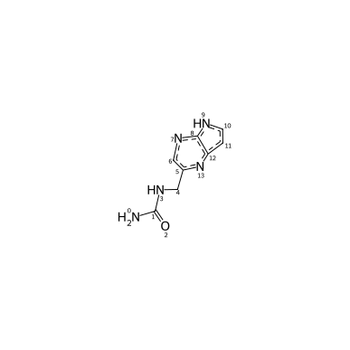 NC(=O)NCc1cnc2[nH]ccc2n1